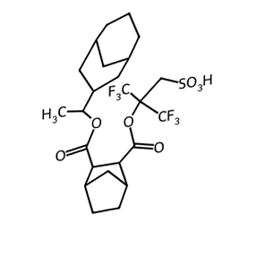 CC(OC(=O)C1C2CCC(C2)C1C(=O)OC(CS(=O)(=O)O)(C(F)(F)F)C(F)(F)F)C1CC2CCCC(C2)C1